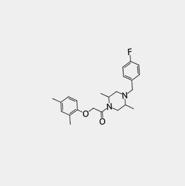 Cc1ccc(OCC(=O)N2CC(C)N(Cc3ccc(F)cc3)CC2C)c(C)c1